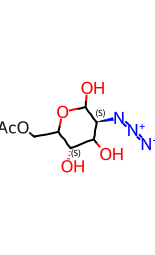 CC(=O)OCC1OC(O)[C@@H](N=[N+]=[N-])C(O)[C@@H]1O